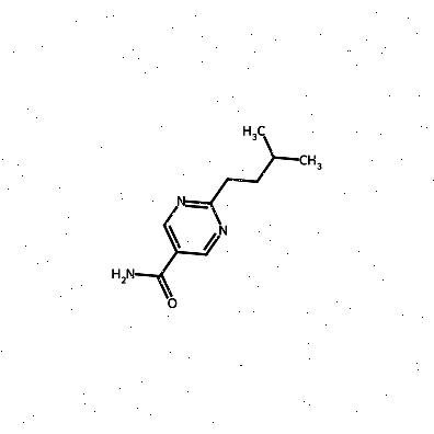 CC(C)CCc1ncc(C(N)=O)cn1